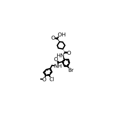 COc1ccc(CNC(=O)c2cc(Br)ccc2NC(=O)[C@H]2CC[C@H](C(=O)O)CC2)cc1Cl